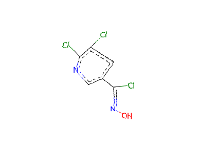 O/N=C(\Cl)c1cnc(Cl)c(Cl)c1